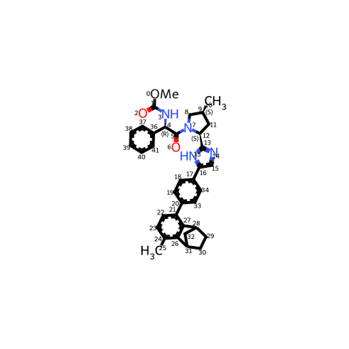 COC(=O)N[C@@H](C(=O)N1C[C@@H](C)C[C@H]1c1ncc(-c2ccc(-c3ccc(C)c4c3C3CCC4C3)cc2)[nH]1)c1ccccc1